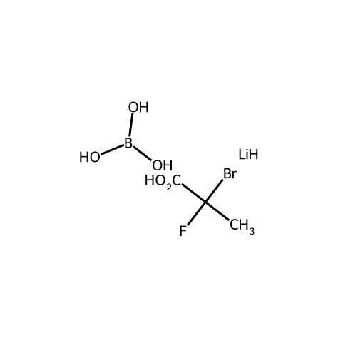 CC(F)(Br)C(=O)O.OB(O)O.[LiH]